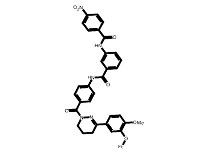 CCOc1cc(C2=NN(C(=O)c3ccc(NC(=O)c4cccc(NC(=O)c5ccc([N+](=O)[O-])cc5)c4)cc3)CCC2)ccc1OC